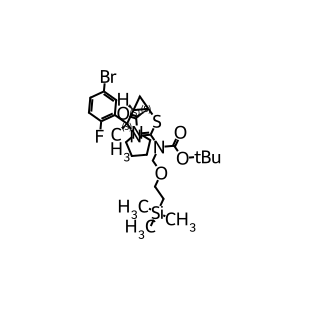 CC(C)(C)OC(=O)N(COCC[Si](C)(C)C)C1=N[C@](C)(c2cc(Br)ccc2F)[C@@H]2C[C@]2(C(=O)N2CCCC2)S1